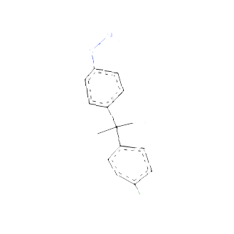 CC(C)(c1ccc(Cl)cc1)c1ccc(NN)cc1